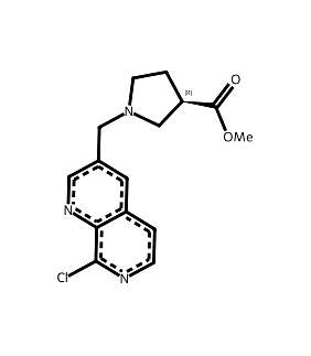 COC(=O)[C@@H]1CCN(Cc2cnc3c(Cl)nccc3c2)C1